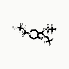 CC(C)(C)OC(=O)N1CCc2nn(CC(F)(F)F)c(OS(=O)(=O)C(F)(F)F)c2CC1